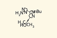 CCCCn1cc(-c2ccnc(N)n2)c2cc(C#CC(C)(C)O)cnc21